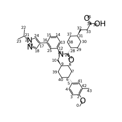 COc1ccc([C@H]2CC[C@H](CN(c3cccc(-c4cnn(C(C)C)c4)c3)C(=O)[C@H]3CC[C@H](CCC(=O)O)CC3)CC2)cc1C